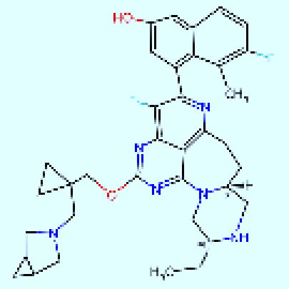 CC[C@@H]1CN2c3nc(OCC4(CN5CC6CC6C5)CC4)nc4c(F)c(-c5cc(O)cc6ccc(F)c(C)c56)nc(c34)CC[C@@H]2CN1